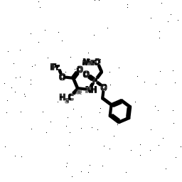 COCP(=O)(N[C@@H](C)C(=O)OC(C)C)OCc1ccccc1